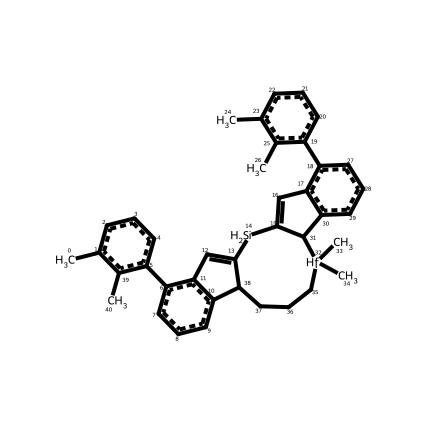 Cc1cccc(-c2cccc3c2C=C2[SiH2]C4=Cc5c(-c6cccc(C)c6C)cccc5[CH]4[Hf]([CH3])([CH3])[CH2]CCC23)c1C